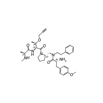 C#CCO[C@H](C)[C@H](NC(=O)[C@H](C)NC)C(=O)N1CCC[C@H]1CN(CCc1ccccc1)C(=O)[C@H](N)Cc1ccc(OC)cc1